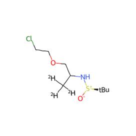 [2H]C([2H])([2H])C(COCCCl)N[S@+]([O-])C(C)(C)C